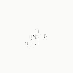 CCN(CC)C(=O)CCC(Nc1ncnc2cc(C(=O)N3CCCC3)c(Cl)cc12)c1nc2cc(Cl)ccc2[nH]1